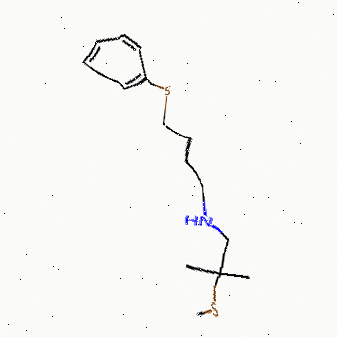 CSC(C)(C)CNCCCCSc1ccccc1